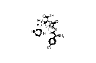 C1CNCCN1.CC1(C)S[C@@H]2[C@H](NC(=O)[C@H](N)c3ccc(O)cc3)C(=O)N2[C@H]1C(=O)O